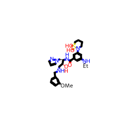 CCNc1cc(C(=O)N[C@@H](Cn2cccn2)[C@H](O)CNCc2cccc(OC)c2)cc(N2CCCCS2(O)O)c1